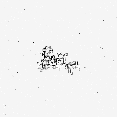 COc1nn2c(=O)n(Cc3ccccc3)c(C(C(C)C)N(CCCNC(=O)OC(C)(C)C)C(=O)c3ccc(Cl)cc3)nc2c1Cl